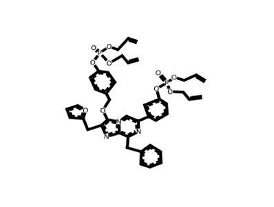 C=CCOP(=O)(OCC=C)Oc1ccc(COc2c(Cc3ccco3)nc3c(Cc4ccccc4)nc(-c4cccc(OP(=O)(OCC=C)OCC=C)c4)cn23)cc1